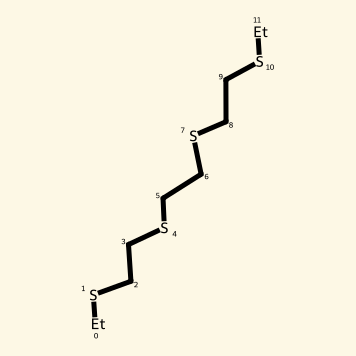 CCSCCSCCSCCSCC